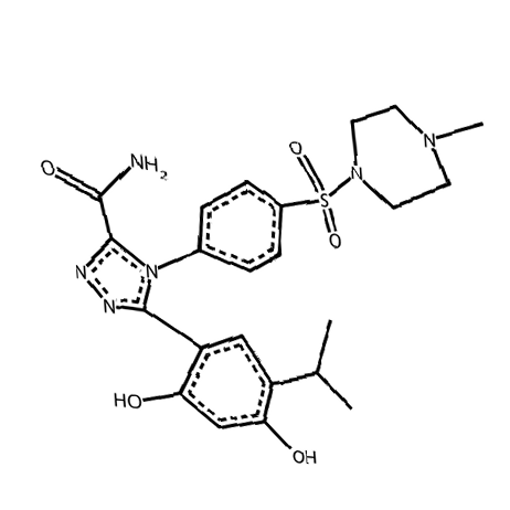 CC(C)c1cc(-c2nnc(C(N)=O)n2-c2ccc(S(=O)(=O)N3CCN(C)CC3)cc2)c(O)cc1O